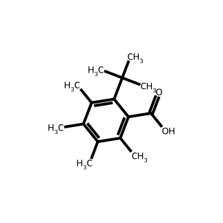 Cc1c(C)c(C)c(C(C)(C)C)c(C(=O)O)c1C